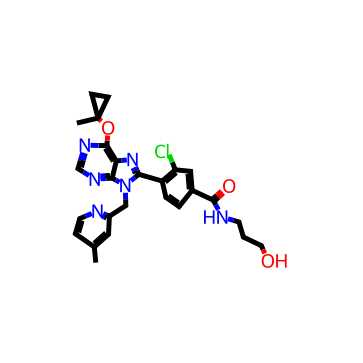 Cc1ccnc(Cn2c(-c3ccc(C(=O)NCCCO)cc3Cl)nc3c(OC4(C)CC4)ncnc32)c1